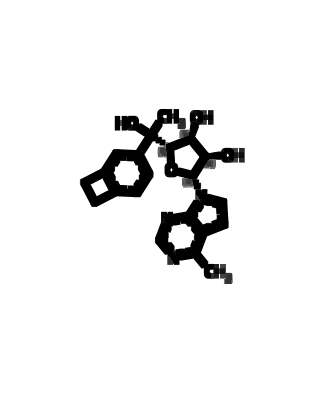 Cc1ncnc2c1ccn2[C@@H]1O[C@H](C(C)(O)c2ccc3c(c2)CC3)[C@@H](O)[C@H]1O